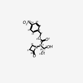 CC[C@@H](O)N(C(=O)OCc1ccc([N+](=O)[O-])cc1)N1CCC1=O